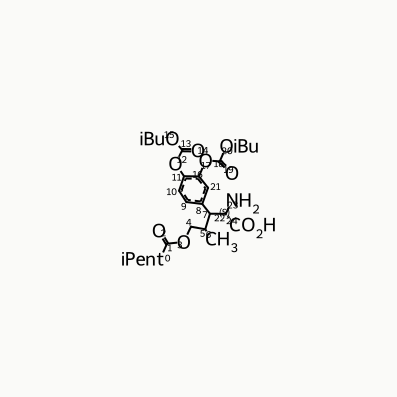 CCCC(C)C(=O)OCC(C)C(c1ccc(OC(=O)OCC(C)C)c(OC(=O)OCC(C)C)c1)[C@H](N)C(=O)O